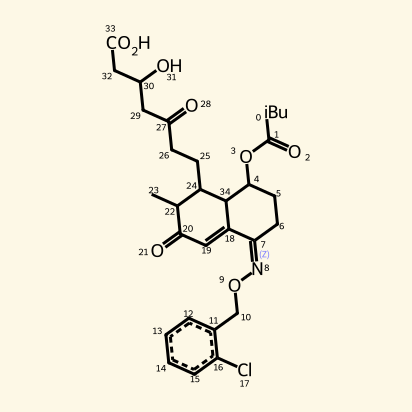 CCC(C)C(=O)OC1CC/C(=N/OCc2ccccc2Cl)C2=CC(=O)C(C)C(CCC(=O)CC(O)CC(=O)O)C21